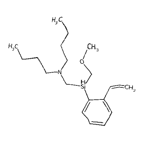 C=Cc1ccccc1[SiH](COC)CN(CCCC)CCCC